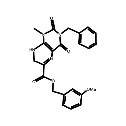 COc1cccc(COC(=O)C2=Nc3c(n(C)c(=O)n(Cc4ccccc4)c3=O)NC2)c1